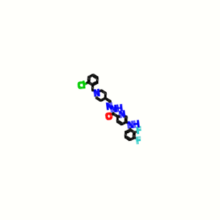 O=C(N/N=C/C1CCN(Cc2ccccc2Cl)CC1)c1ccc(Nc2cccc(F)c2F)cn1